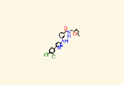 Cc1ccc(CNC(=O)c2cccc(Nc3ccc(-c4ccc(Cl)c(Cl)c4)nn3)c2)o1